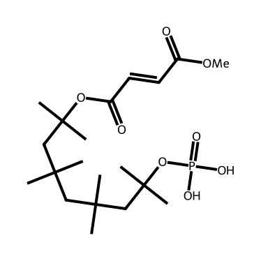 COC(=O)/C=C/C(=O)OC(C)(C)CC(C)(C)CC(C)(C)CC(C)(C)OP(=O)(O)O